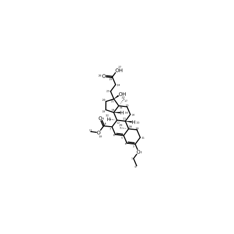 CCOC1=CC2=CC(C(=O)OC)[C@@H]3[C@H](CC[C@@]4(C)[C@H]3CC[C@]4(O)CCC(=O)O)[C@@]2(C)CC1